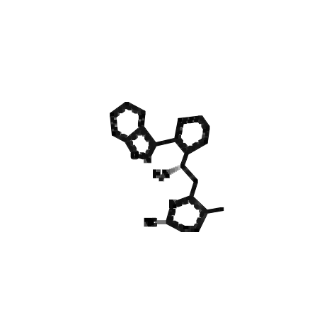 Cc1ccc(C#N)nc1C[C@H](N)c1ccccc1-c1noc2ccccc12